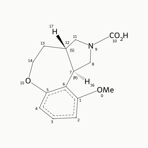 COc1cccc2c1[C@@H]1CN(C(=O)O)C[C@H]1CCO2